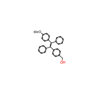 COc1ccc(/C(=C(\c2ccccc2)c2ccc(CO)cc2)c2ccccc2)cc1